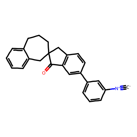 [C-]#[N+]c1cccc(-c2ccc3c(c2)C(=O)C2(CCCc4ccccc4C2)C3)c1